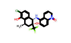 C[C@@H]1C[C@](O)(C(F)(F)F)[C@@H](Nc2cccc3c2C=CC[N+]3=O)c2ccc(Cl)c(O)c21